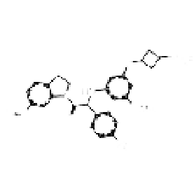 CCOC(=O)C1CC(Oc2cc(NC(C(=O)N3CCc4ccc(OC(F)(F)F)cc43)c3ccc(Cl)cc3)cc(OC)c2)C1